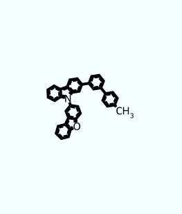 Cc1ccc(-c2cccc(-c3ccc4c5ccccc5n(-c5ccc6oc7ccccc7c6c5)c4c3)c2)cc1